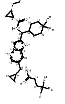 CC[C@H]1C[C@H]1C(=O)N[C@H](c1cn2ncc([C@H](NC(=O)CCC(F)(F)F)C3CC3)cc2n1)C1CCC(F)(F)CC1